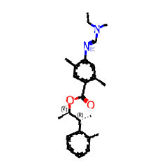 CCN(C)/C=N/c1cc(C)c(C(=O)O[C@H](C)[C@H](C)c2ccccc2C)cc1C